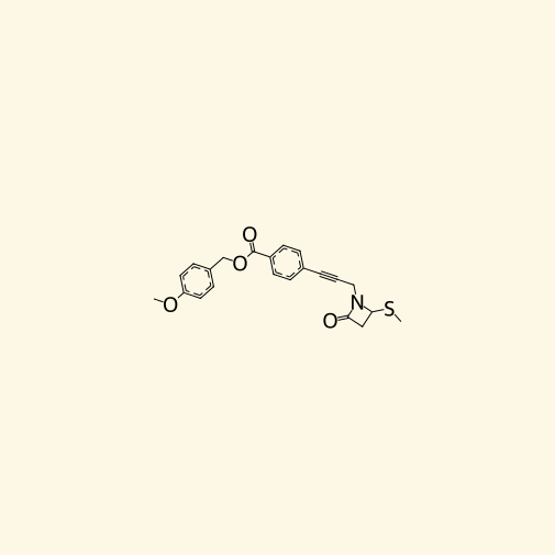 COc1ccc(COC(=O)c2ccc(C#CCN3C(=O)CC3SC)cc2)cc1